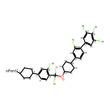 CCCCCC1CCC(c2ccc(C(F)(F)OC3CCC(c4ccc(-c5cc(F)c(F)c(F)c5)c(F)c4)CC3)c(F)c2)CC1